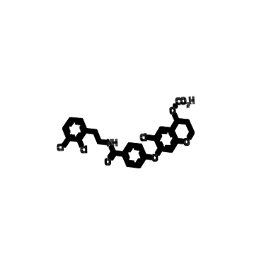 O=C(O)OC1CCOc2cc(Oc3ccc(C(=O)NCCc4cccc(Cl)c4Cl)cc3)c(Cl)cc21